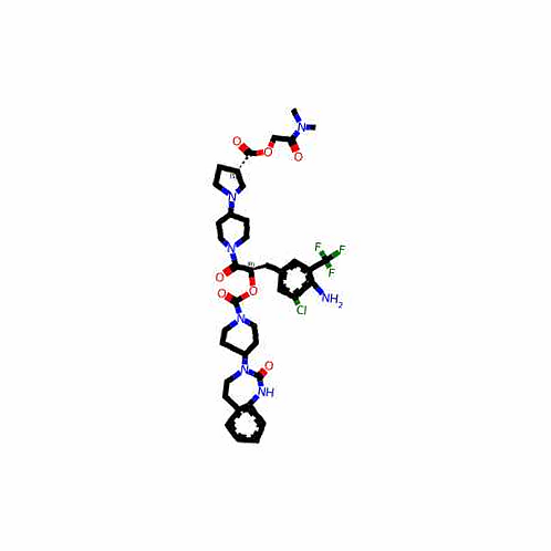 CN(C)C(=O)COC(=O)[C@H]1CCN(C2CCN(C(=O)[C@@H](Cc3cc(Cl)c(N)c(C(F)(F)F)c3)OC(=O)N3CCC(N4CCc5ccccc5NC4=O)CC3)CC2)C1